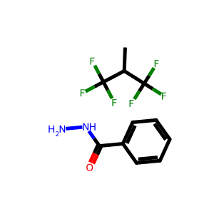 CC(C(F)(F)F)C(F)(F)F.NNC(=O)c1ccccc1